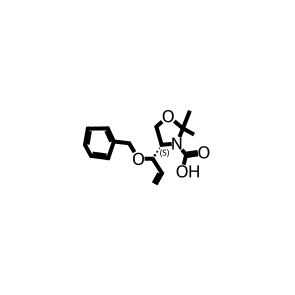 C=CC(OCc1ccccc1)[C@@H]1COC(C)(C)N1C(=O)O